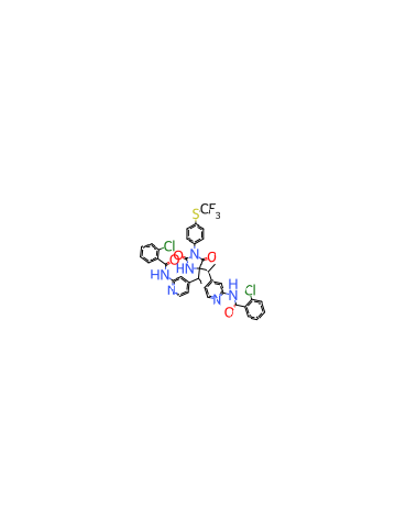 CC(c1ccnc(NC(=O)c2ccccc2Cl)c1)C1(C(C)c2ccnc(NC(=O)c3ccccc3Cl)c2)NC(=O)N(c2ccc(SC(F)(F)F)cc2)C1=O